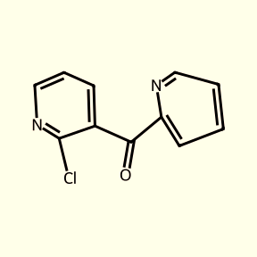 O=C(c1ccccn1)c1cccnc1Cl